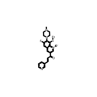 CCSc1c(N2CCN(C)CC2)c(F)cc2cc(C(=O)C=Cc3cccnc3)c[n+]([O-])c12